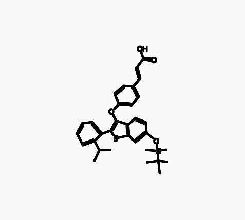 CC(C)c1ccccc1-c1sc2cc(O[Si](C)(C)C(C)(C)C)ccc2c1Oc1ccc(C=CC(=O)O)cc1